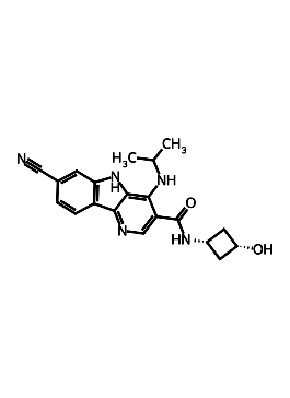 CC(C)Nc1c(C(=O)N[C@H]2C[C@@H](O)C2)cnc2c1[nH]c1cc(C#N)ccc12